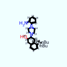 CCC[CH2][Sn]([CH2]CCC)([CH2]CCC)[c]1cccc2c1CC(N1CCN(c3ccccc3N)CC1)C(O)C2